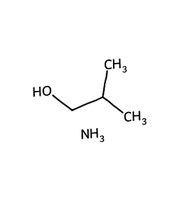 CC(C)CO.N